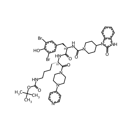 CC(C)(C)OC(=O)NCCCC[C@H](NC(=O)[C@@H](Cc1cc(Br)c(O)c(Br)c1)NC(=O)N1CCC(n2c(=O)[nH]c3ccccc32)CC1)C(=O)N1CCN(c2ccncc2)CC1